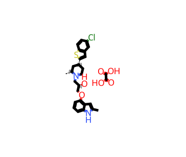 Cc1cc2c(OC[C@@H](O)CN3CC[C@@H](c4cc5cc(Cl)ccc5s4)C[C@H]3C)cccc2[nH]1.O=C(O)C(=O)O